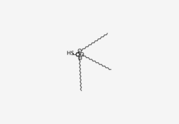 CCCCCCCCCCCCCCCCCCOc1cc(CS)cc(OCCCCCCCCCCCCCCCCCC)c1OCCCCCCCCCCCCCCCCCC